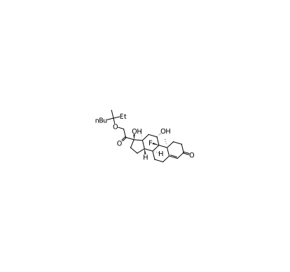 CCCCC(C)(CC)OCC(=O)[C@@]1(O)CC[C@H]2[C@@H]3CCC4=CC(=O)CC[C@]4(C)[C@@]3(F)[C@@H](O)C[C@@]21C